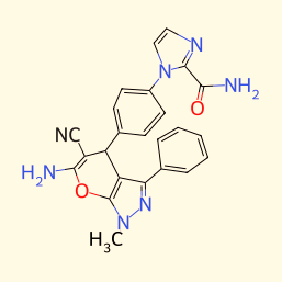 Cn1nc(-c2ccccc2)c2c1OC(N)=C(C#N)C2c1ccc(-n2ccnc2C(N)=O)cc1